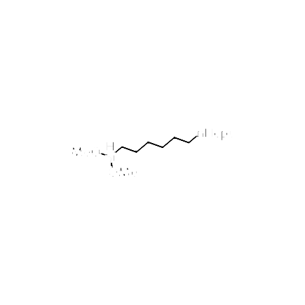 CCCCCCCCCCCCC[SiH](OC)OC